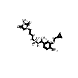 Bc1ccc(C(C)NS(=O)(=O)CCCCN2CC(=O)N(C)C2=O)cc1OCC1CC1